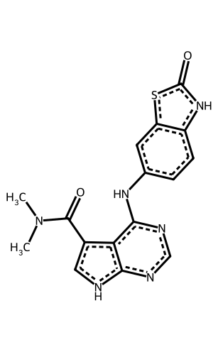 CN(C)C(=O)c1c[nH]c2ncnc(Nc3ccc4[nH]c(=O)sc4c3)c12